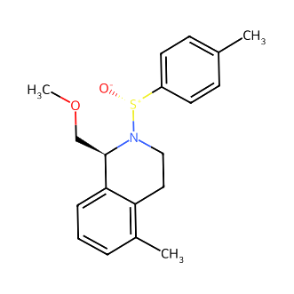 COC[C@@H]1c2cccc(C)c2CCN1[S@+]([O-])c1ccc(C)cc1